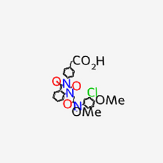 COc1ccc(N(OC)C(=O)Cn2c(=O)n(-c3ccc(CC(=O)O)cc3)c(=O)c3ccccc32)cc1Cl